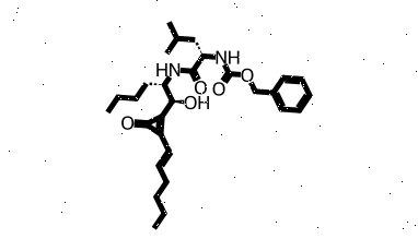 CCCC/C=C/c1c([C@H](O)[C@H](CCCC)NC(=O)[C@H](CC(C)C)NC(=O)OCc2ccccc2)c1=O